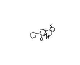 O=c1c(-c2ccccc2)ccc2c3sccc3cnn12